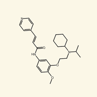 COc1ccc(NC(=O)/C=C/c2ccncc2)cc1OCCN(C(C)C)C1CCCCC1